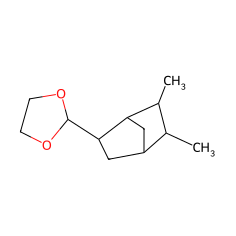 CC1C2CC(C3OCCO3)C(C2)C1C